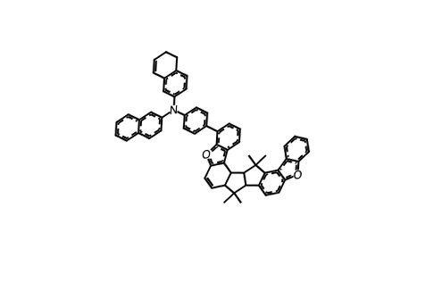 CC1(C)c2c(ccc3oc4ccccc4c23)C2C1C1c3c(oc4c(-c5ccc(N(c6ccc7c(c6)C=CCC7)c6ccc7ccccc7c6)cc5)cccc34)C=CC1C2(C)C